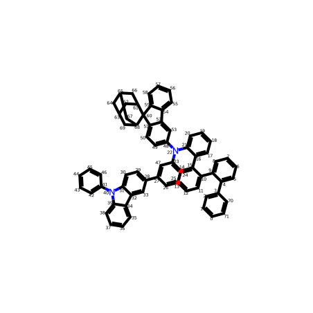 c1ccc(-c2ccccc2-c2ccccc2-c2ccccc2N(c2cccc(-c3ccc4c(c3)c3ccccc3n4-c3ccccc3)c2)c2ccc3c(c2)-c2ccccc2C32C3CC4CC(C3)CC2C4)cc1